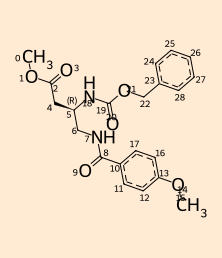 COC(=O)C[C@H](CNC(=O)c1ccc(OC)cc1)NC(=O)OCc1ccccc1